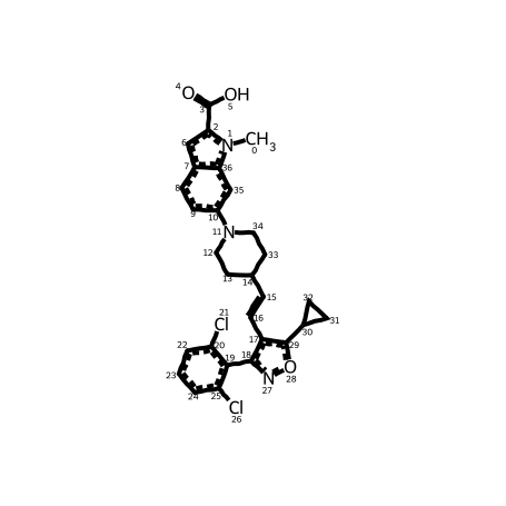 Cn1c(C(=O)O)cc2ccc(N3CCC(/C=C/c4c(-c5c(Cl)cccc5Cl)noc4C4CC4)CC3)cc21